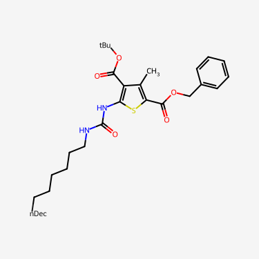 CCCCCCCCCCCCCCCCNC(=O)Nc1sc(C(=O)OCc2ccccc2)c(C)c1C(=O)OC(C)(C)C